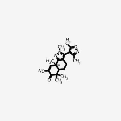 Cc1noc(C)c1-c1c2c(nn1C)[C@@]1(C)C=C(C#N)C(=O)C(C)(C)C1CC2